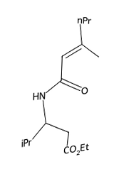 CCC/C(C)=C/C(=O)NC(CC(=O)OCC)C(C)C